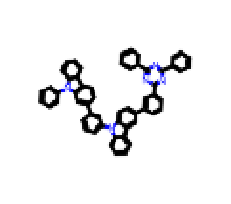 C1=CC2c3ccc(-c4cccc(-n5c6ccccc6c6cc(-c7cccc(-c8nc(-c9ccccc9)nc(-c9ccccc9)n8)c7)ccc65)c4)cc3N(c3ccccc3)C2C=C1